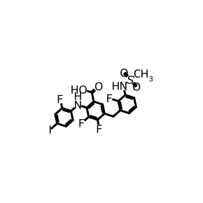 CS(=O)(=O)Nc1cccc(Cc2cc(C(=O)O)c(Nc3ccc(I)cc3F)c(F)c2F)c1F